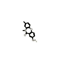 Cc1ccc2c(c1)N(C)C(=O)c1cc(N)ccc1O2